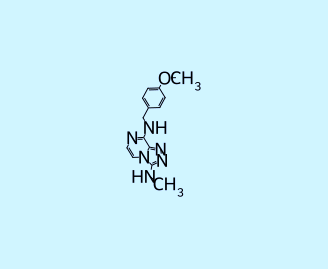 CNc1nnc2c(NCc3ccc(OC)cc3)nccn12